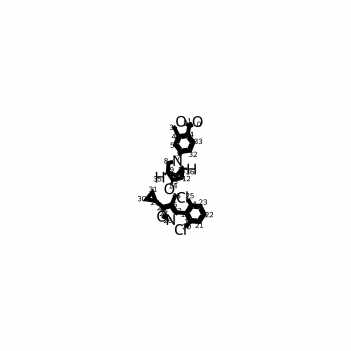 O=C1OCc2cc(N3C[C@@H]4C[C@H]3C[C@H]4OCc3c(-c4c(Cl)cccc4Cl)noc3C3CC3)ccc21